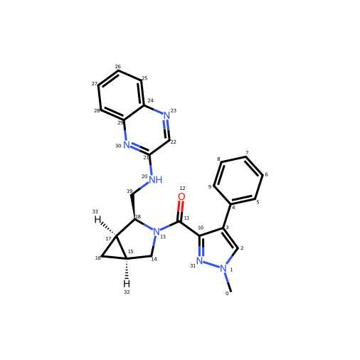 Cn1cc(-c2ccccc2)c(C(=O)N2C[C@H]3C[C@H]3[C@H]2CNc2cnc3ccccc3n2)n1